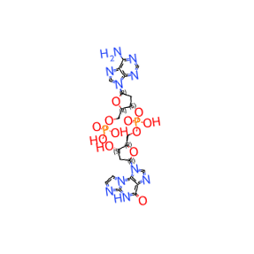 Nc1ncnc2c1ncn2[C@H]1C[C@H](OP(=O)(O)OC[C@H]2O[C@@H](n3cnc4c(=O)[nH]c5nccn5c43)C[C@@H]2O)[C@@H](COP(=O)(O)O)O1